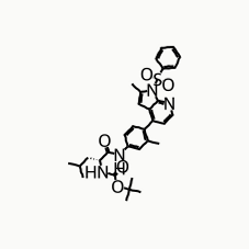 Cc1cc(NC(=O)[C@@H](CC(C)C)NC(=O)OC(C)(C)C)ccc1-c1ccnc2c1cc(C)n2S(=O)(=O)c1ccccc1